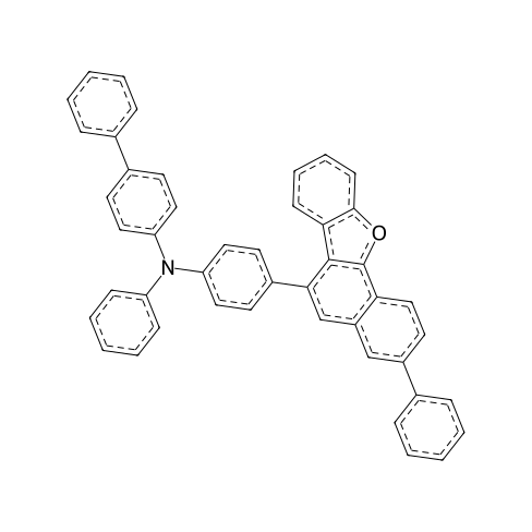 c1ccc(-c2ccc(N(c3ccccc3)c3ccc(-c4cc5cc(-c6ccccc6)ccc5c5oc6ccccc6c45)cc3)cc2)cc1